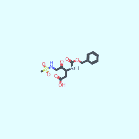 CS(=O)(=O)NCC(=O)C(CC(=O)O)[AsH]C(=O)OCc1ccccc1